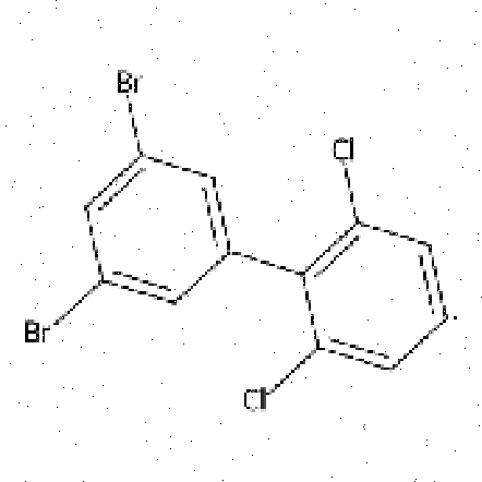 Clc1c[c]cc(Cl)c1-c1cc(Br)cc(Br)c1